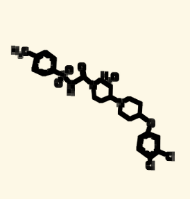 Cc1ccc(S(=O)(=O)NC(=O)N2CCC(N3CCC(Oc4ccc(Cl)c(Cl)c4)CC3)CC2)cc1.O